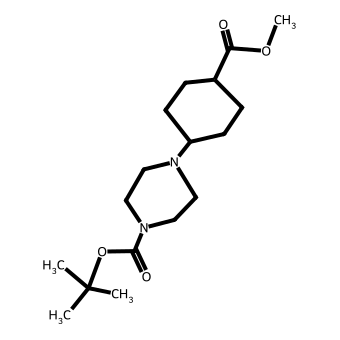 COC(=O)C1CCC(N2CCN(C(=O)OC(C)(C)C)CC2)CC1